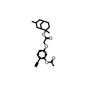 C#Cc1ccc(OCC(=O)OC2(C)CCC3CC(C)CC2C3)cc1OC(C)=O